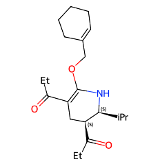 CCC(=O)C1=C(OCC2=CCCCC2)N[C@@H](C(C)C)[C@@H](C(=O)CC)C1